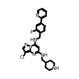 Fc1cc(-c2ccccn2)ccc1CNc1cc(NCC2CCNCC2)nc2c(Cl)cnn12